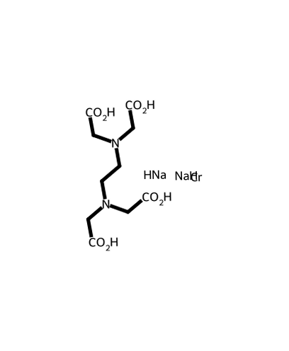 O=C(O)CN(CCN(CC(=O)O)CC(=O)O)CC(=O)O.[Cr].[NaH].[NaH]